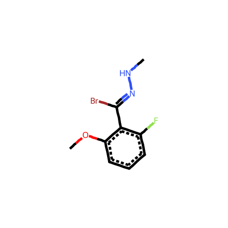 CN/N=C(\Br)c1c(F)cccc1OC